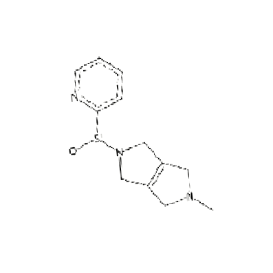 CN1CC2=C(C1)CN([S+]([O-])c1ccccn1)C2